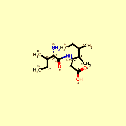 CCC(C)C(C)[C@@H](CC(=O)O)NC(=O)[C@@H](N)C(C)CC